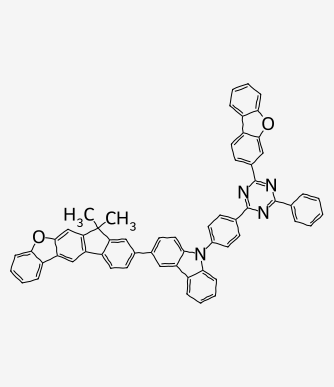 CC1(C)c2cc(-c3ccc4c(c3)c3ccccc3n4-c3ccc(-c4nc(-c5ccccc5)nc(-c5ccc6c(c5)oc5ccccc56)n4)cc3)ccc2-c2cc3c(cc21)oc1ccccc13